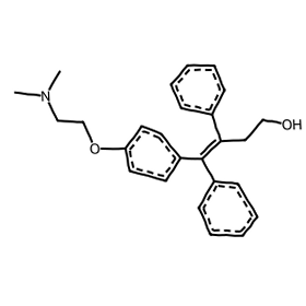 CN(C)CCOc1ccc(C(=C(CCO)c2ccccc2)c2ccccc2)cc1